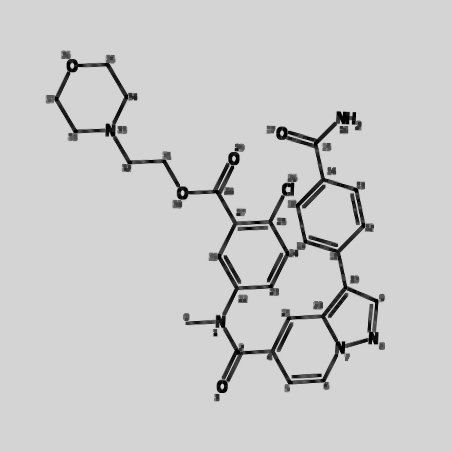 CN(C(=O)c1ccn2ncc(-c3ccc(C(N)=O)cc3)c2c1)c1ccc(Cl)c(C(=O)OCCN2CCOCC2)c1